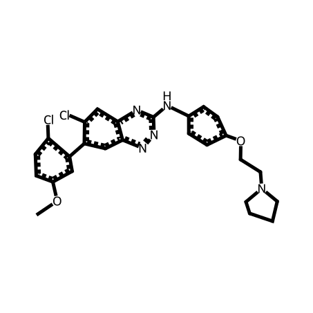 COc1ccc(Cl)c(-c2cc3nnc(Nc4ccc(OCCN5CCCC5)cc4)nc3cc2Cl)c1